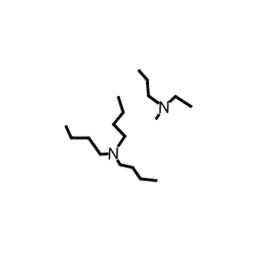 CCCCN(CCCC)CCCC.CCCN(C)CC